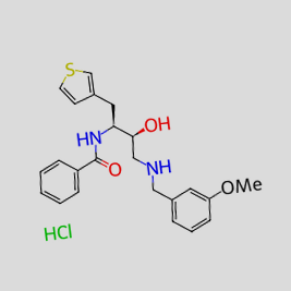 COc1cccc(CNC[C@H](O)[C@H](Cc2ccsc2)NC(=O)c2ccccc2)c1.Cl